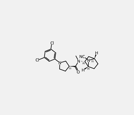 CN(C(=O)[C@H]1CCN(c2cc(Cl)cc(Cl)c2)C1)[C@@H]1C[C@@H]2CC[C@H]1N2C#N